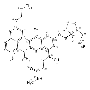 CCc1c(F)ccc2cc(OCOC)cc(-c3ncc4c(N(C)CCC(=O)NC)nc(OC[C@@]56CCCN5C[C@H](F)C6)nc4c3F)c12